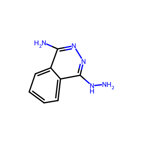 NNc1nnc(N)c2ccccc12